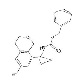 O=C(NC1(c2cc(Br)cc3c2COCC3)CC1)OCc1ccccc1